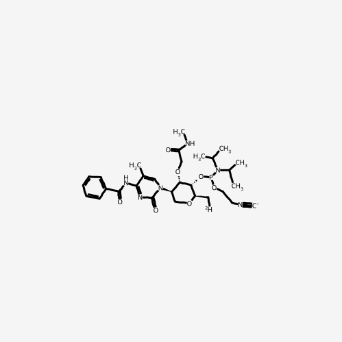 [2H]C[C@H]1OC[C@@H](n2cc(C)c(NC(=O)c3ccccc3)nc2=O)[C@H](OCC(=O)NC)[C@@H]1OP(OCC[N+]#[C-])N(C(C)C)C(C)C